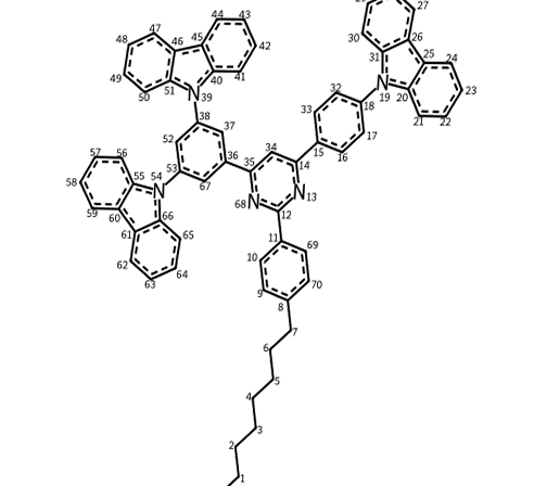 CCCCCCCCc1ccc(-c2nc(-c3ccc(-n4c5ccccc5c5ccccc54)cc3)cc(-c3cc(-n4c5ccccc5c5ccccc54)cc(-n4c5ccccc5c5ccccc54)c3)n2)cc1